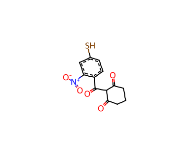 O=C1CCCC(=O)C1C(=O)c1ccc(S)cc1[N+](=O)[O-]